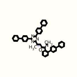 C=Nc1c(/C=C(\C)c2nc(-c3ccc(-c4ccccc4)cc3)nc(-c3ccc(-c4ccccc4)cc3)n2)oc2cccc(-c3ccc(-c4ccccc4)cc3)c12